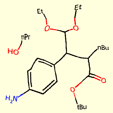 CCCCC(C(=O)OC(C)(C)C)C(c1ccc(N)cc1)C(OCC)OCC.CCCO